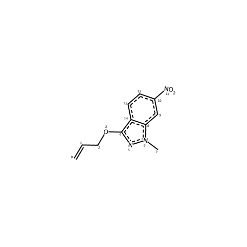 C=CCOc1nn(C)c2cc([N+](=O)[O-])ccc12